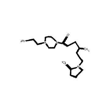 CC(C)CCN1CCN(C(=O)CCC(C)CCN2CCCC2=O)CC1